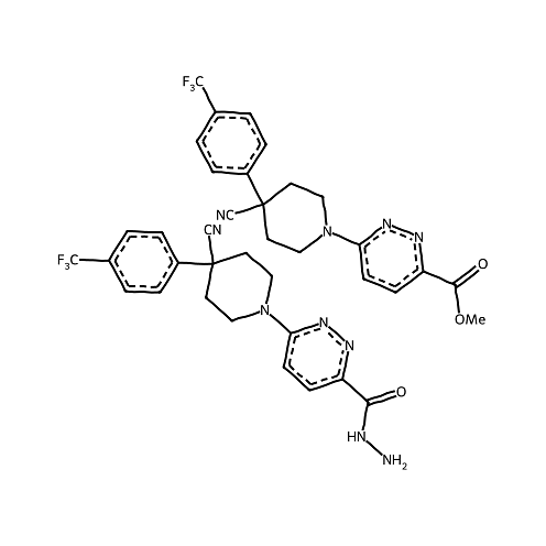 COC(=O)c1ccc(N2CCC(C#N)(c3ccc(C(F)(F)F)cc3)CC2)nn1.N#CC1(c2ccc(C(F)(F)F)cc2)CCN(c2ccc(C(=O)NN)nn2)CC1